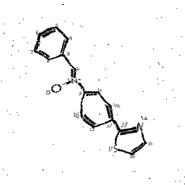 [O-][N+](=Cc1ccccc1)c1ccc(-c2nccs2)cc1